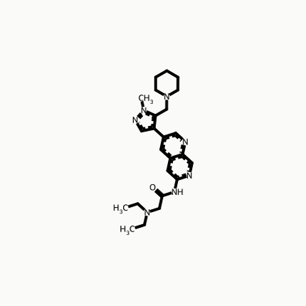 CCN(CC)CC(=O)Nc1cc2cc(-c3cnn(C)c3CN3CCCCC3)cnc2cn1